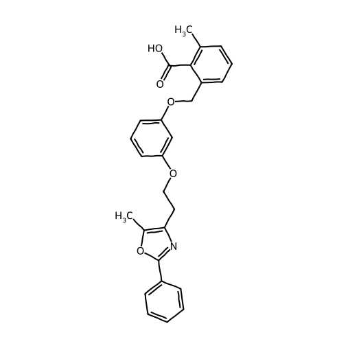 Cc1cccc(COc2cccc(OCCc3nc(-c4ccccc4)oc3C)c2)c1C(=O)O